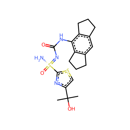 CC(C)(O)c1csc([S@@](N)(=O)=NC(=O)Nc2c3c(cc4c2CCC4)CCC3)n1